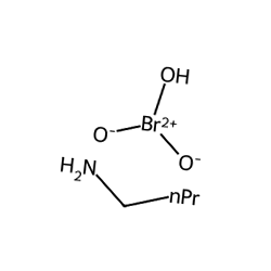 CCCCN.[O-][Br+2]([O-])O